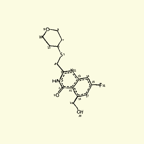 O=c1[nH]c(CSC2CCOCC2)nc2cc(F)cc(CO)c12